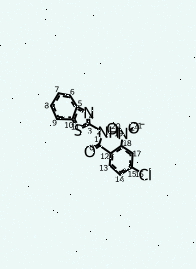 O=C(Nc1nc2ccccc2s1)c1ccc(Cl)cc1[N+](=O)[O-]